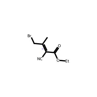 CCOC(=O)/C(C#N)=C(\C)CBr